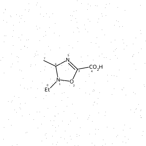 CCN1OC(C(=O)O)=NC1C